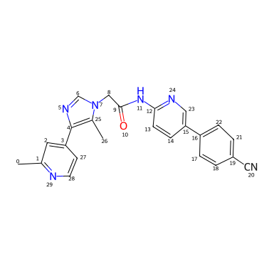 Cc1cc(-c2ncn(CC(=O)Nc3ccc(-c4ccc(C#N)cc4)cn3)c2C)ccn1